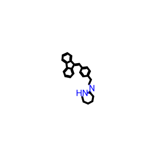 C(=C1c2ccccc2-c2ccccc21)c1ccc(CCN=C2CCCCCN2)cc1